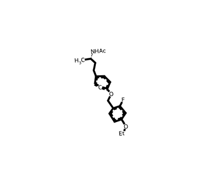 CCOc1ccc(COc2ccc(CC[C@H](C)NC(C)=O)cc2)c(F)c1